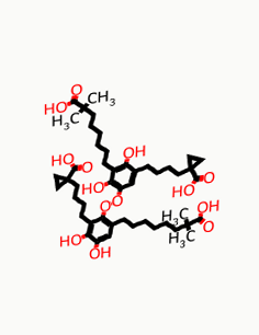 CC(C)(CCCCCCc1cc(O)c(O)c(CCCCC2(C(=O)O)CC2)c1OOc1cc(CCCCC2(C(=O)O)CC2)c(O)c(CCCCCCC(C)(C)C(=O)O)c1O)C(=O)O